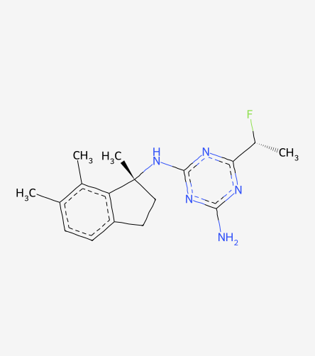 Cc1ccc2c(c1C)[C@](C)(Nc1nc(N)nc([C@@H](C)F)n1)CC2